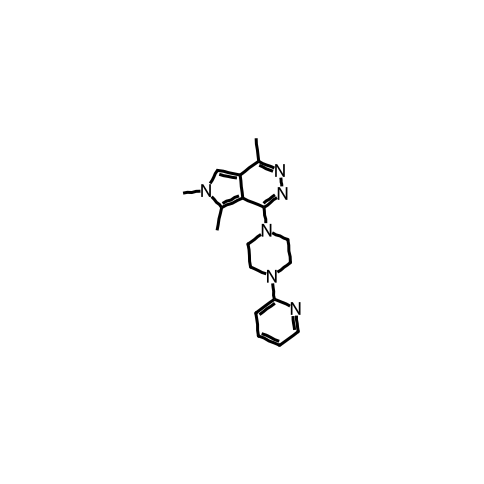 Cc1nnc(N2CCN(c3ccccn3)CC2)c2c(C)n(C)cc12